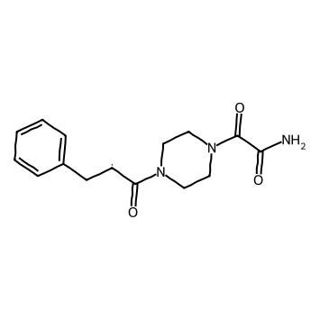 NC(=O)C(=O)N1CCN(C(=O)[CH]Cc2ccccc2)CC1